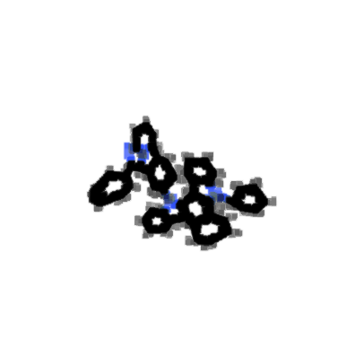 c1ccc(-c2nc3cccc4c5ccc(-n6c7ccccc7c7c8ccccc8c8c(c9ccccc9n8-c8ccccc8)c76)cc5c2n34)cc1